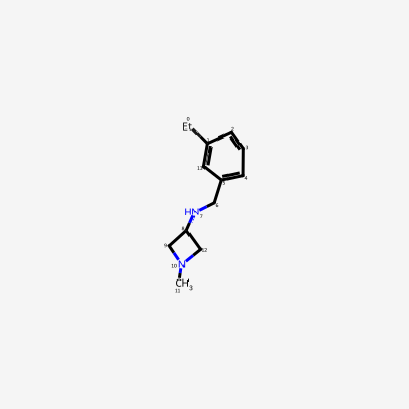 CCc1cccc(CNC2CN(C)C2)c1